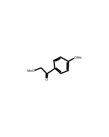 COCC(=O)c1ccc(OC)cc1